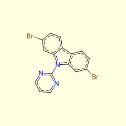 Brc1ccc2c3ccc(Br)cc3n(-c3ncccn3)c2c1